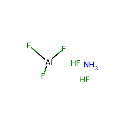 F.F.N.[F][Al]([F])[F]